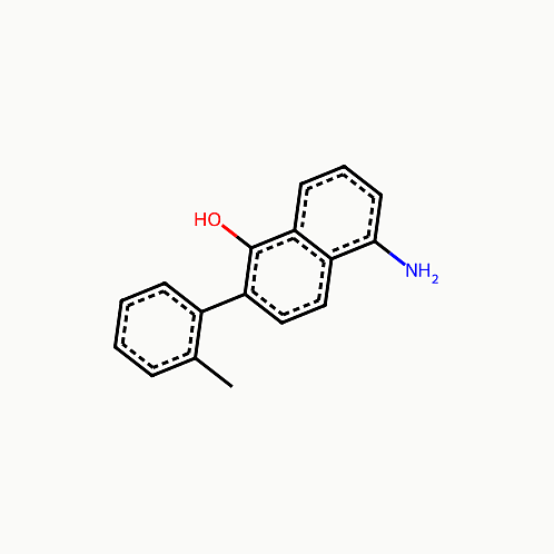 Cc1ccccc1-c1ccc2c(N)cccc2c1O